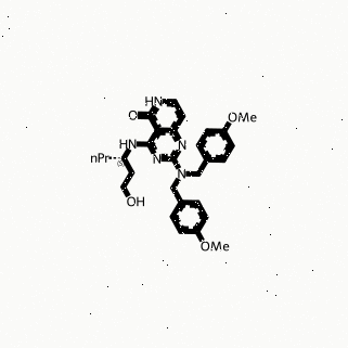 CCC[C@@H](CCO)Nc1nc(N(Cc2ccc(OC)cc2)Cc2ccc(OC)cc2)nc2cc[nH]c(=O)c12